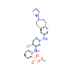 CC(C)OS(=O)(=O)c1ccccc1Nc1nc(Nc2ccc3c(c2)CC[C@@H](N2CCCC2)CC3)ncc1Cl